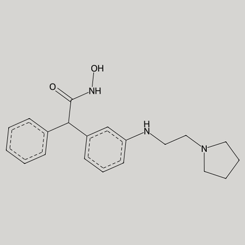 O=C(NO)C(c1ccccc1)c1cccc(NCCN2CCCC2)c1